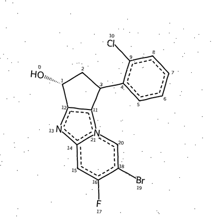 O[C@@H]1CC(c2ccccc2Cl)c2c1nc1cc(F)c(Br)cn21